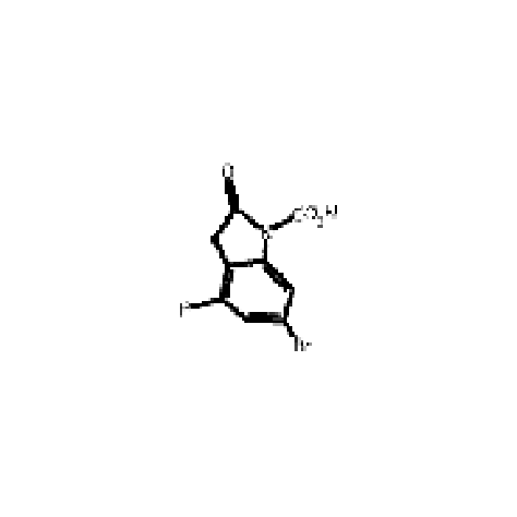 O=C(O)N1C(=O)Cc2c(F)cc(Br)cc21